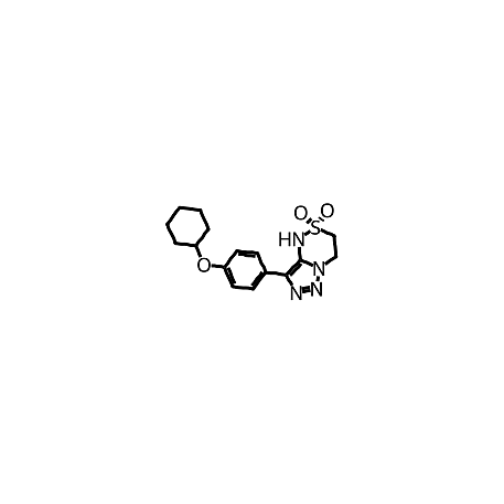 O=S1(=O)CCn2nnc(-c3ccc(OC4CCCCC4)cc3)c2N1